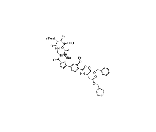 CCCCC[C@@H](C(=O)NCNC(=O)c1ccc(-c2ccc(C(=O)N[C@@H](CC(=O)OCc3ccccc3)C(=O)OCc3ccccc3)c(OCC)c2)o1)[C@@H](CC)N(C=O)OC(=O)NC(C)(C)C